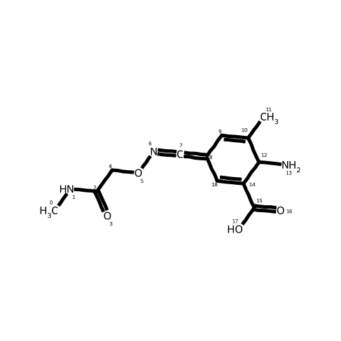 CNC(=O)CON=C=C1C=C(C)C(N)C(C(=O)O)=C1